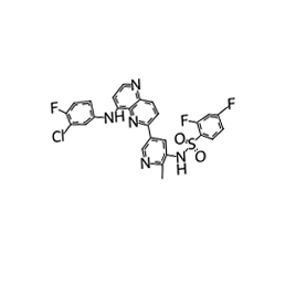 Cc1ncc(-c2ccc3nccc(Nc4ccc(F)c(Cl)c4)c3n2)cc1NS(=O)(=O)c1ccc(F)cc1F